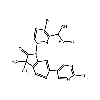 CCNC(O)c1nc(N2C(=O)C(C)(C)c3ccc(-c4cnc(C)nc4)cc32)ccc1CC